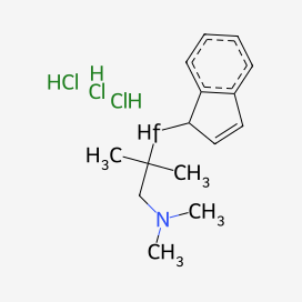 CN(C)C[C](C)(C)[Hf][CH]1C=Cc2ccccc21.Cl.Cl.Cl